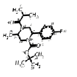 CC(C)C(=O)N1CC(c2ccc(F)cc2)N(C(=O)OC(C)(C)C)CC1C